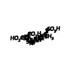 CN(CCCS(=O)(=O)O)c1ccc(N=Nc2nnc(Sc3cc(C(=O)O)cc(C(=O)O)c3)s2)nc1